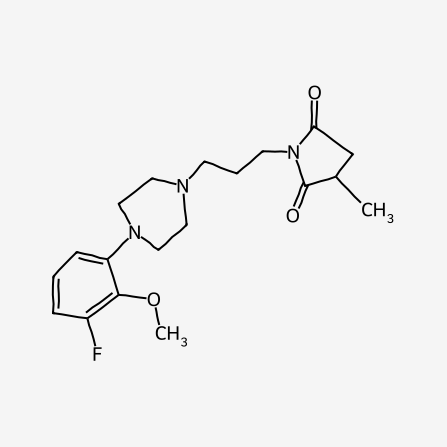 COc1c(F)cccc1N1CCN(CCCN2C(=O)CC(C)C2=O)CC1